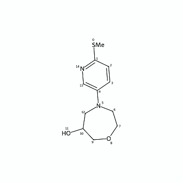 CSc1ccc(N2CCOCC(O)C2)cn1